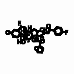 C[C@@H]1C[C@H]2[C@@H]3C[C@H](F)C4=CC(=O)C=C[C@]4(C)[C@@]3(F)[C@@H](O)C[C@]2(C)[C@@]1(OC(=O)c1ccco1)C(=O)SCC(=O)c1ccc(F)cc1